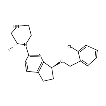 C[C@@H]1CNCCN1c1ccc2c(n1)[C@@H](OCc1ccccc1Cl)CC2